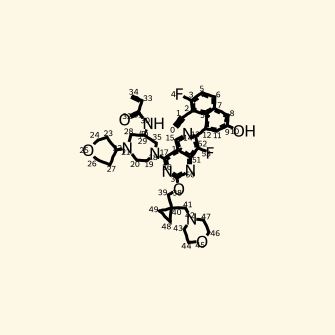 C#Cc1c(F)ccc2cc(O)cc(-c3ncc4c(N5CCN(C6CCOCC6)C[C@@H](NC(=O)C=C)C5)nc(OCC5(CN6CCOCC6)CC5)nc4c3F)c12